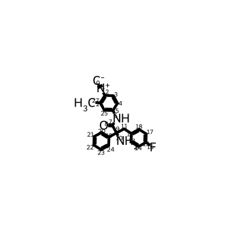 [C-]#[N+]c1ccc(NC(=O)C(N)(Cc2ccc(F)cc2)c2ccccc2)cc1C